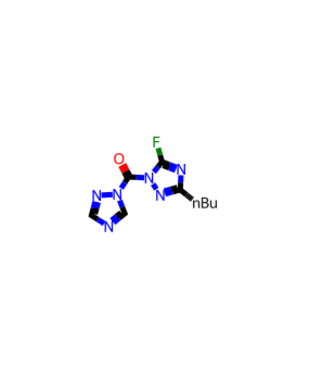 CCCCc1nc(F)n(C(=O)n2cncn2)n1